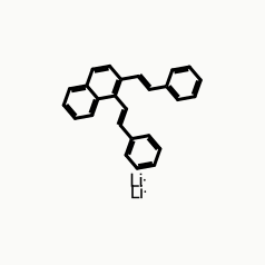 C(=Cc1ccc2ccccc2c1C=Cc1ccccc1)c1ccccc1.[Li].[Li]